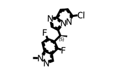 C[C@@H](c1c(F)cc2c(cnn2C)c1F)c1cnc2ccc(Cl)nn12